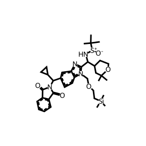 CC1(C)CC(C(N[S@+]([O-])C(C)(C)C)c2nc3cc(C(C4CC4)N4C(=O)c5ccccc5C4=O)ccc3n2COCC[Si](C)(C)C)CCO1